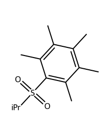 Cc1c(C)c(C)c(S(=O)(=O)C(C)C)c(C)c1C